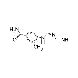 Cc1cc(C(N)=O)ccc1N/C=N\C=N